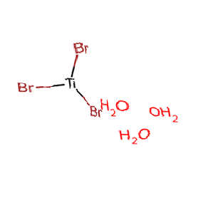 O.O.O.[Br][Ti]([Br])[Br]